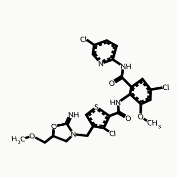 COCC1CN(Cc2csc(C(=O)Nc3c(OC)cc(Cl)cc3C(=O)Nc3ccc(Cl)cn3)c2Cl)C(=N)O1